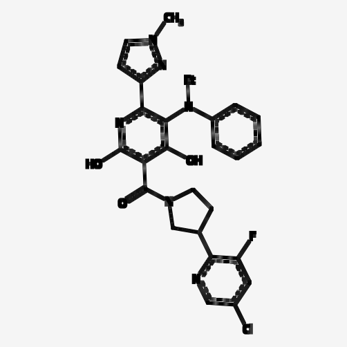 CCN(c1ccccc1)c1c(-c2ccn(C)n2)nc(O)c(C(=O)N2CCC(c3ncc(Cl)cc3F)C2)c1O